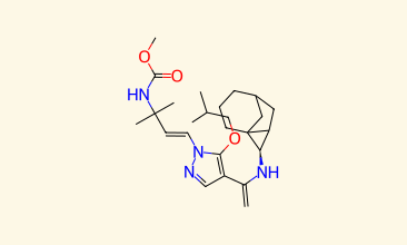 C=C(N[C@@H]1C2CC3CCCC21C3)c1cnn(/C=C/C(C)(C)NC(=O)OC)c1OCC(C)C